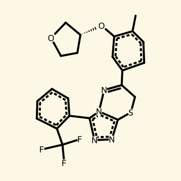 Cc1ccc(C2=Nn3c(nnc3-c3ccccc3C(F)(F)F)SC2)cc1O[C@@H]1CCOC1